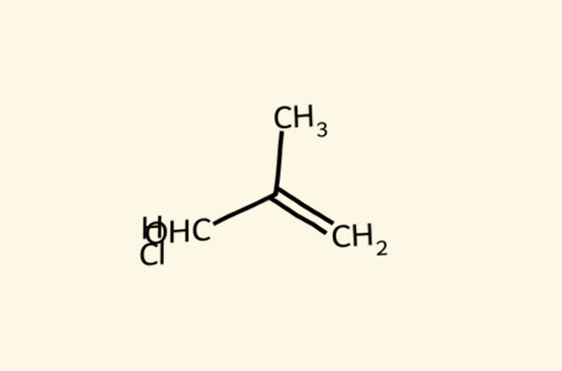 C=C(C)C=O.Cl